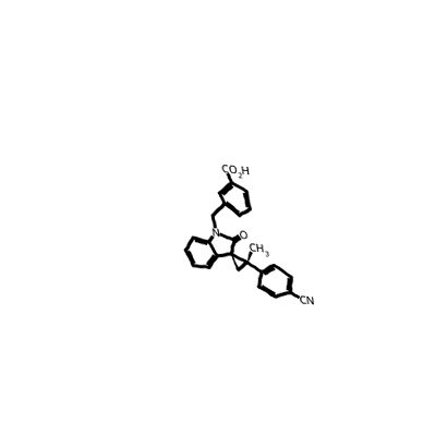 C[C@@]1(c2ccc(C#N)cc2)C[C@@]12C(=O)N(Cc1cccc(C(=O)O)c1)c1ccccc12